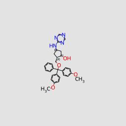 COc1ccc(C(OC[C@H]2C[C@@H](Nc3ncncn3)C[C@@H]2O)(c2ccccc2)c2ccc(OC)cc2)cc1